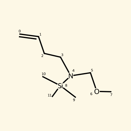 C=CCCN(COC)[Si](C)(C)C